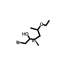 CCOC(C)C[C@@H](C)C(O)CBr